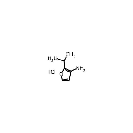 CC(C)c1occc1N.Cl